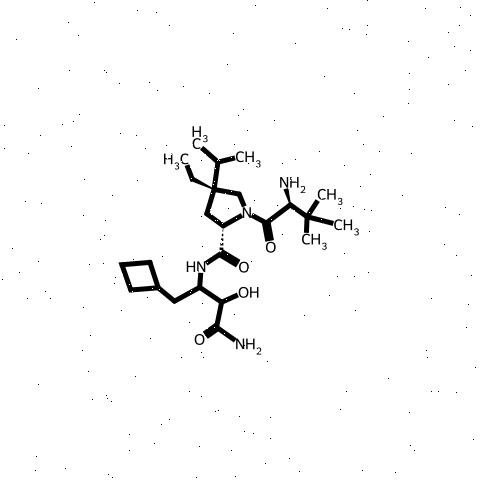 CC[C@]1(C(C)C)C[C@@H](C(=O)NC(CC2CCC2)C(O)C(N)=O)N(C(=O)[C@@H](N)C(C)(C)C)C1